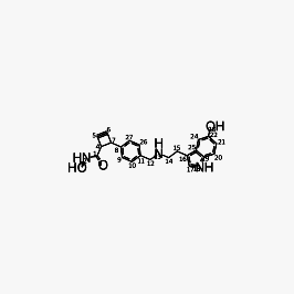 O=C(NO)C1C#CC1c1ccc(CNCCc2c[nH]c3ccc(O)cc23)cc1